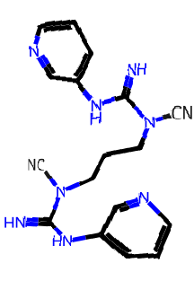 N#CN(CCCN(C#N)C(=N)Nc1cccnc1)C(=N)Nc1cccnc1